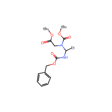 CCC(NC(=O)OCc1ccccc1)N(CC(=O)OC(C)(C)C)C(=O)OC(C)(C)C